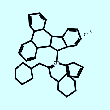 C1=CC[C]([Zr+2](=[C](CC2CCCCC2)CC2CCCCC2)[CH]2C3C=CC=CC3C3C4C=CC=CC4C4C=CC=CC4C32)=C1.[Cl-].[Cl-]